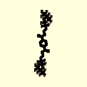 O=C(OCCC(F)(F)C(F)(F)OC(F)(C(F)(F)F)C(F)(F)F)c1ccc(C(=O)OCCC(F)(F)C(F)(F)OC(F)(C(F)(F)F)C(F)(F)F)cc1